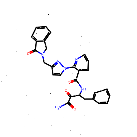 NC(=O)C(=O)C(Cc1ccccc1)NC(=O)c1cccnc1-n1ccc(CN2Cc3ccccc3C2=O)n1